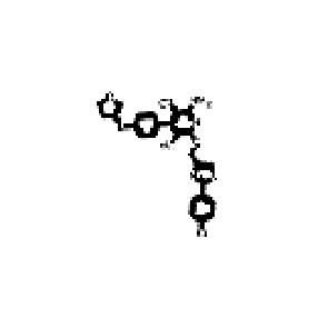 [C-]#[N+]c1c(N)nc(SCc2csc(-c3ccc(Cl)cc3)n2)c(C#N)c1-c1ccc(OC2CCOC2)cc1